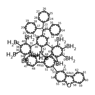 Bc1c(B)c(B)c(-c2cc(S(c3ccccc3)(c3ccccc3)c3ccccc3)cc(-c3c(B)c(B)c(B)c(B)c3B)c2-n2c3ccccc3c3cc(-c4ccc5oc6ccccc6c5c4)ccc32)c(B)c1B